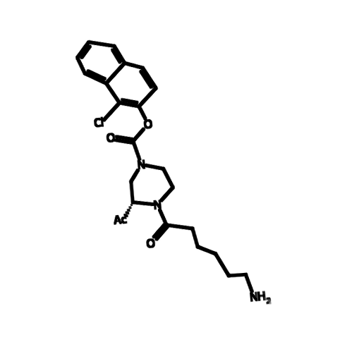 CC(=O)[C@@H]1CN(C(=O)Oc2ccc3ccccc3c2Cl)CCN1C(=O)CCCCCN